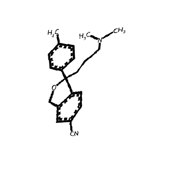 Cc1ccc(C2(CCCN(C)C)OCc3cc(C#N)ccc32)cc1